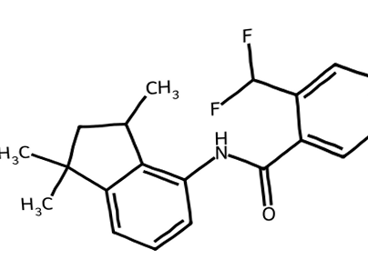 CC1CC(C)(C)c2cccc(NC(=O)c3ccccc3C(F)F)c21